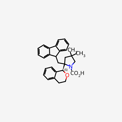 CC1(C)CN(C(=O)O)C(CC2c3ccccc3-c3ccccc32)([C@H]2OCCc3ccccc32)C1